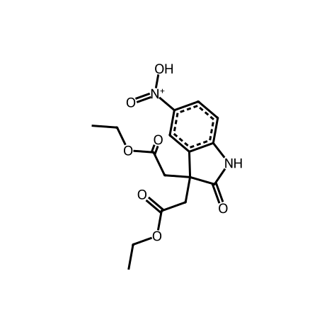 CCOC(=O)CC1(CC(=O)OCC)C(=O)Nc2ccc([N+](=O)O)cc21